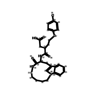 O=C(O)C[C@@H](CCOc1ccc(Cl)cc1)C(=O)NC1Cc2cn(c3ccccc23)CCCCCNC1=O